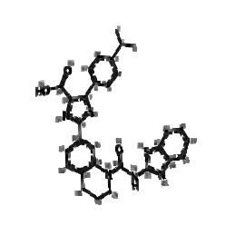 CC(C)c1ccc(-c2sc(-c3ccc4c(c3)N(C(=O)Nc3nc5ccccc5s3)CCC4)nc2C(=O)O)cc1